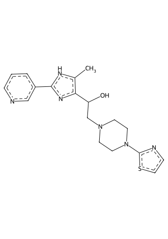 Cc1[nH]c(-c2cccnc2)nc1C(O)CN1CCN(c2nccs2)CC1